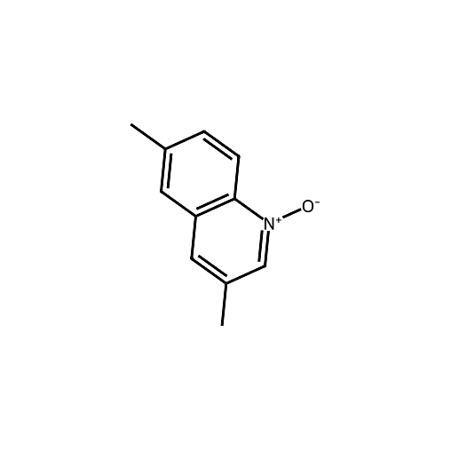 Cc1ccc2c(c1)cc(C)c[n+]2[O-]